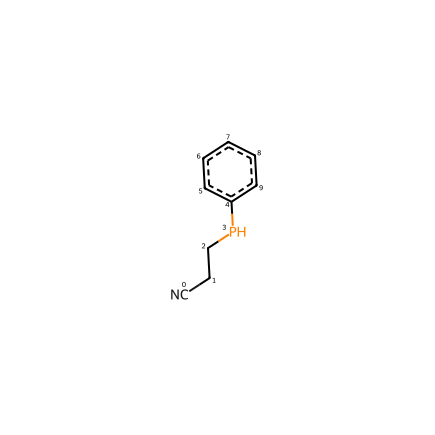 N#CCCPc1ccccc1